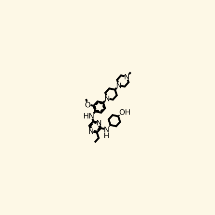 CCc1ncc(Nc2ccc(N3CCC(N4CCN(C)CC4)CC3)cc2OC)nc1N[C@H]1CC[C@H](O)CC1